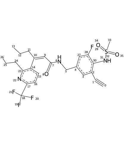 C#Cc1cc(CNC(=O)C=C(CCC)c2ccc(C(F)(F)F)nc2CCC)cc(F)c1NS(C)(=O)=O